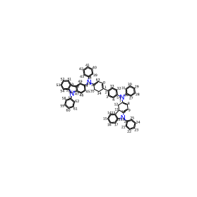 C1=C(c2ccc(N(C3=CC=C4C(C3)c3ccccc3N4c3ccccc3)c3ccccc3)cc2)CCC(N(c2ccccc2)c2ccc3c(c2)c2ccccc2n3-c2ccccc2)=C1